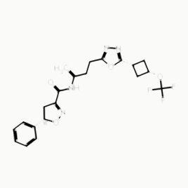 C=C(CCc1nnc([C@H]2C[C@@H](OC(F)(F)F)C2)o1)NC(=O)C1=NO[C@H](c2ccccc2)C1